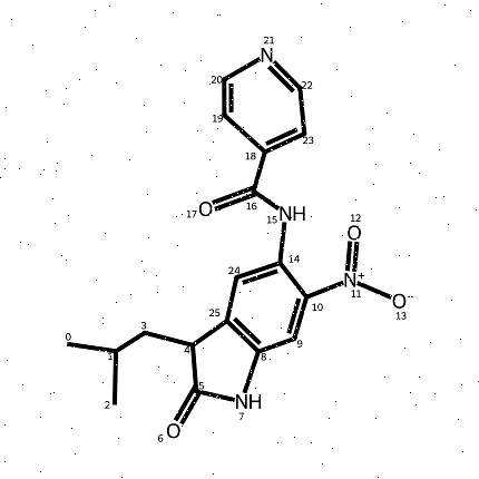 CC(C)CC1C(=O)Nc2cc([N+](=O)[O-])c(NC(=O)c3ccncc3)cc21